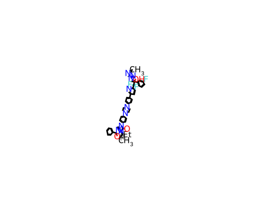 CC[C@@H]([C@H](C)OCc1ccccc1)n1ncn(-c2ccc(N3CCN(c4ccc(-c5ccc(C(F)(F)C(O)(Cn6cnc(C)n6)c6cccc(F)c6)nc5)cc4)CC3)cc2)c1=O